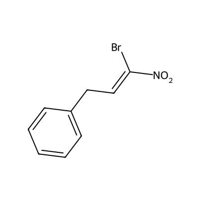 O=[N+]([O-])C(Br)=CCc1ccccc1